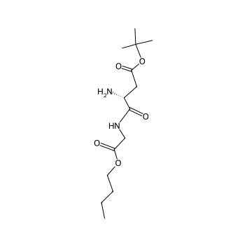 CCCCOC(=O)CNC(=O)[C@H](N)CC(=O)OC(C)(C)C